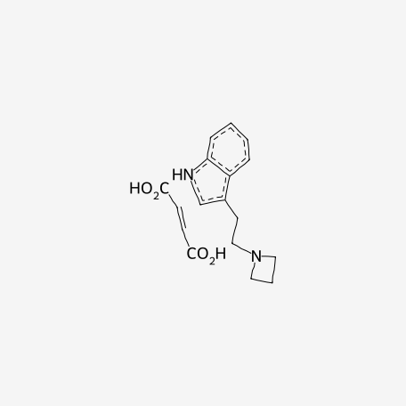 O=C(O)/C=C/C(=O)O.c1ccc2c(CCN3CCC3)c[nH]c2c1